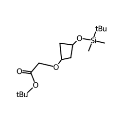 CC(C)(C)OC(=O)COC1CC(O[Si](C)(C)C(C)(C)C)C1